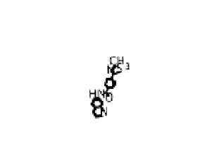 Cc1nc(-c2ccc(C(=O)Nc3ccc4cccnc4c3)cc2)cs1